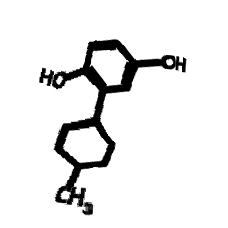 CC1CCC(c2cc(O)ccc2O)CC1